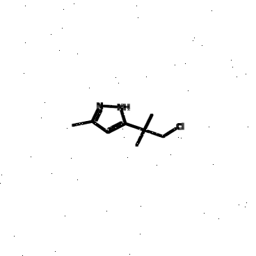 Cc1cc(C(C)(C)CCl)[nH]n1